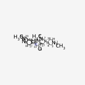 CCN1CC=C(C2=CN(C)C(P/C(=C\C=O)c3ccc4nn(C)cc4c3)C=C2)CC1